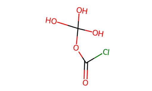 O=C(Cl)OC(O)(O)O